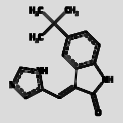 CC(C)(C)c1ccc2c(c1)/C(=C\c1cnc[nH]1)C(=O)N2